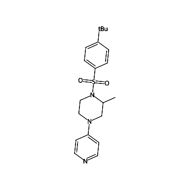 CC1CN(c2ccncc2)CCN1S(=O)(=O)c1ccc(C(C)(C)C)cc1